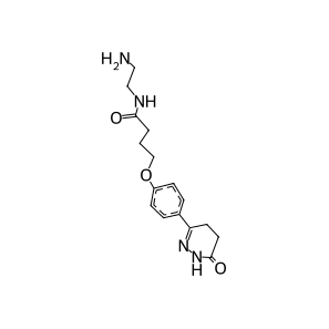 NCCNC(=O)CCCOc1ccc(C2=NNC(=O)CC2)cc1